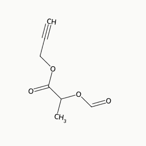 C#CCOC(=O)C(C)OC=O